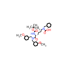 COc1cccc(CN(Cc2cccc(OC)c2)C(=O)[C@@H](CCCCN(Cc2ccccc2)C(=O)O)NC(=O)OC(C)(C)C)c1